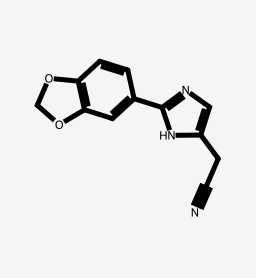 N#CCc1cnc(-c2ccc3c(c2)OCO3)[nH]1